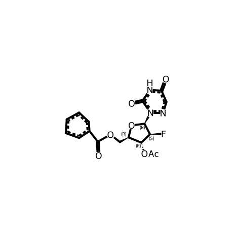 CC(=O)O[C@H]1[C@H](F)[C@H](n2ncc(=O)[nH]c2=O)O[C@@H]1COC(=O)c1ccccc1